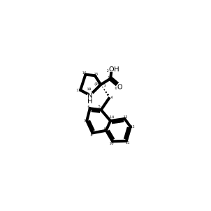 O=C(O)[C@]1(Cc2cccc3ccccc23)CCCN1